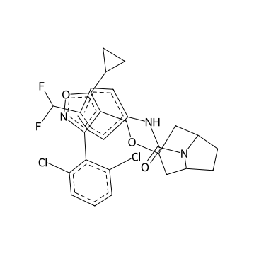 O=C(Nc1ccc(C(F)F)cc1)N1C2CCC1CC(OCc1c(-c3c(Cl)cccc3Cl)noc1C1CC1)C2